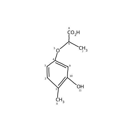 Cc1ccc(OC(C)C(=O)O)cc1O